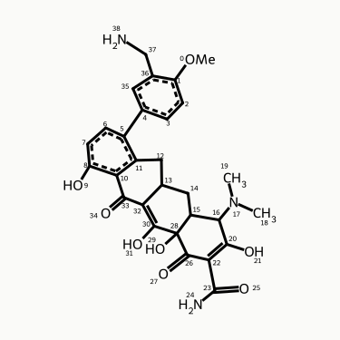 COc1ccc(-c2ccc(O)c3c2CC2CC4C(N(C)C)C(O)=C(C(N)=O)C(=O)C4(O)C(O)=C2C3=O)cc1CN